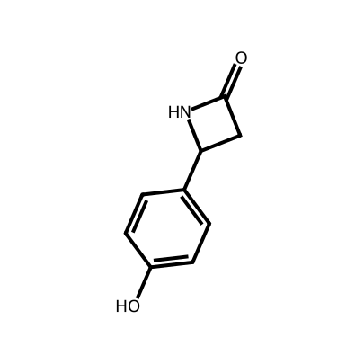 O=C1CC(c2ccc(O)cc2)N1